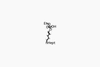 CCCCCCCCCCC=COP(=O)(O)OCC